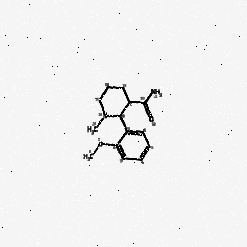 COc1ccccc1C1C(C(N)=O)CCCN1C